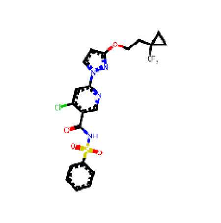 O=C(NS(=O)(=O)c1ccccc1)c1cnc(-n2ccc(OCCC3(C(F)(F)F)CC3)n2)cc1Cl